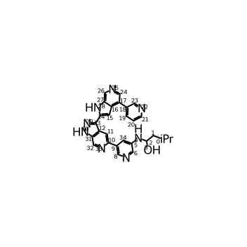 CC(C)CC(O)Nc1cncc(-c2cc3c(-c4cc5c(-c6cccnc6)cncc5[nH]4)n[nH]c3cn2)c1